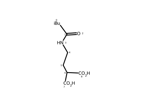 CCC(C)C(=O)NCCC(C(=O)O)C(=O)O